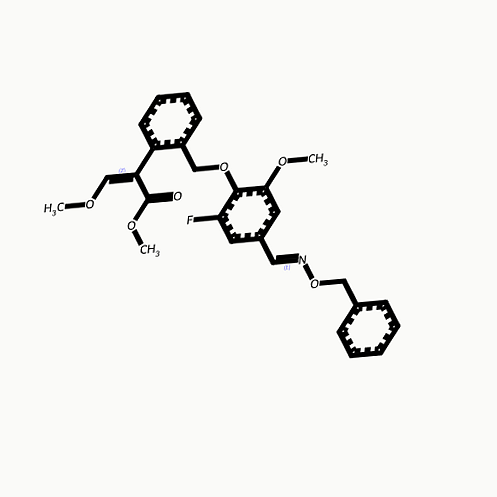 CO/C=C(\C(=O)OC)c1ccccc1COc1c(F)cc(/C=N/OCc2ccccc2)cc1OC